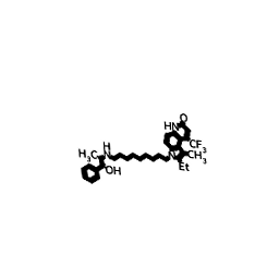 CCc1c(C)c2c3c(C(F)(F)F)cc(=O)[nH]c3ccc2n1CCCCCCCCCN[C@@H](C)[C@H](O)c1ccccc1